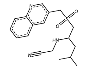 CC(C)CC(CS(=O)(=O)Cc1cnc2ccccc2c1)NCC#N